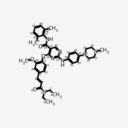 CCN(CC)C(=O)C=Cc1ccc(Oc2nc(Nc3ccc(N4CCN(C)CC4)cc3)ncc2C(=O)Nc2c(C)cccc2C)c(OC)c1